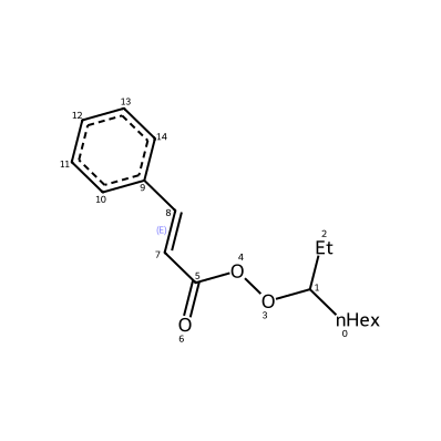 CCCCCCC(CC)OOC(=O)/C=C/c1ccccc1